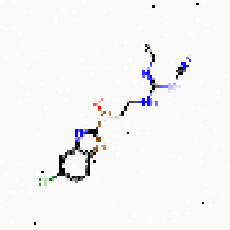 CCN=C(NC#N)NCC[S+]([O-])c1nc2cc(Cl)ccc2s1